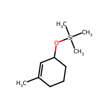 CC1=CC(O[Si](C)(C)C)CCC1